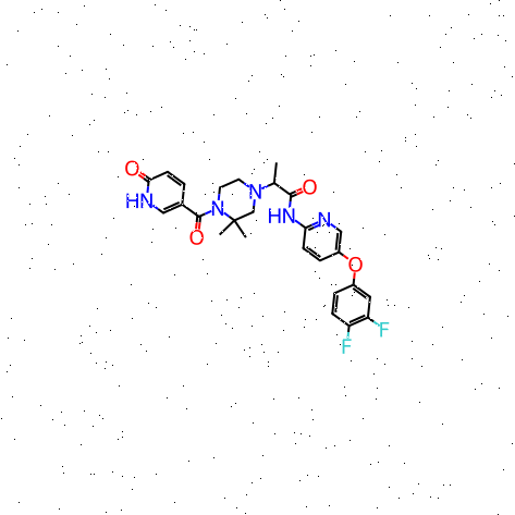 CC(C(=O)Nc1ccc(Oc2ccc(F)c(F)c2)cn1)N1CCN(C(=O)c2ccc(=O)[nH]c2)C(C)(C)C1